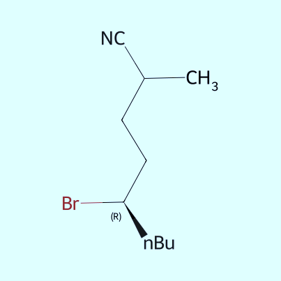 CCCC[C@@H](Br)CCC(C)C#N